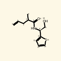 C=CCC(C)C(=O)N[C@@H](CO)c1cccs1